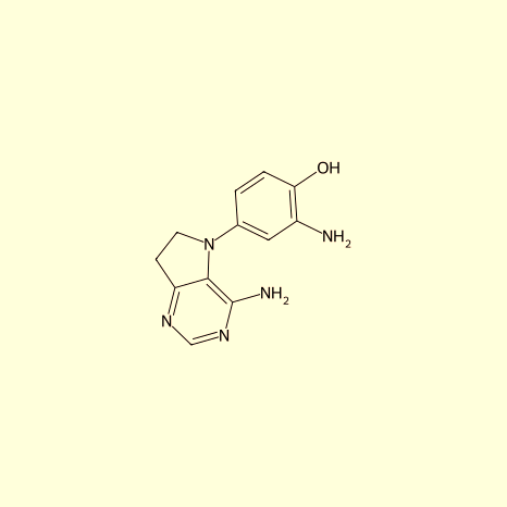 Nc1cc(N2CCc3ncnc(N)c32)ccc1O